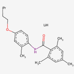 Cc1cc(C)c(C(=O)Pc2ccc(OCCC(C)C)cc2C)c(C)c1.[LiH]